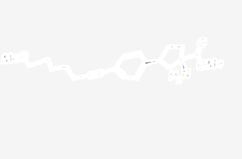 COCCCCCC#Cc1ccc([C@H]2CC[C@](N)(C(=O)OC)C2)cc1